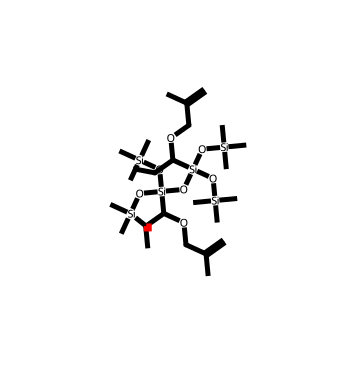 C=C(C)COC(CC)[Si](O[Si](C)(C)C)(O[Si](C)(C)C)O[Si](O[Si](C)(C)C)(O[Si](C)(C)C)C(CC)OCC(=C)C